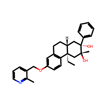 CC[C@@]12C[C@@](C)(O)[C@](O)(c3ccccc3)C[C@H]1CCc1cc(OCc3cccnc3C)ccc12